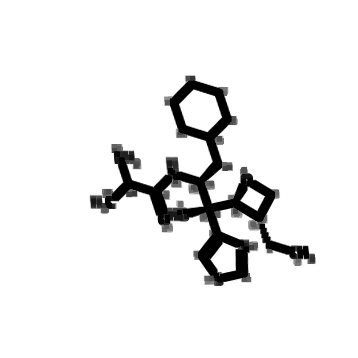 CC[C@H]1CO[C@@H]1[C@](O)(c1cscn1)[C@H](CC1CCCCC1)NC(=O)C(C)N